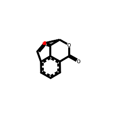 O=C1OC2C=Cc3cccc1c3C2=O